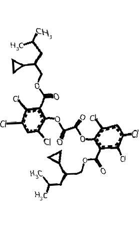 CC(C)CC(COC(=O)c1c(Cl)c(Cl)cc(Cl)c1OC(=O)C(=O)Oc1c(Cl)cc(Cl)c(Cl)c1C(=O)OCC(CC(C)C)C1CC1)C1CC1